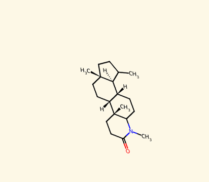 CC1CC[C@@]2(C)CC[C@@H]3[C@@H](CCC4N(C)C(=O)CC[C@@]43C)[C@H]12